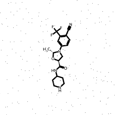 C[C@H]1O[C@H](C(=O)NC2CCNCC2)CN1c1ccc(C#N)c(C(F)(F)F)c1